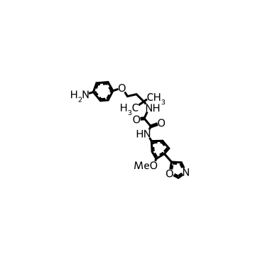 COc1cc(NC(=O)C(=O)NC(C)(C)CCOc2ccc(N)cc2)ccc1-c1cnco1